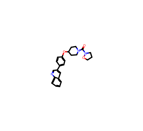 O=C(N1CCC(Oc2ccc(-c3cnc4ccccc4c3)cc2)CC1)N1CCCO1